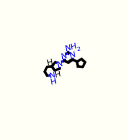 Nc1nc(C2CCCC2)cc(N2C[C@H]3CCCN[C@H]3C2)n1